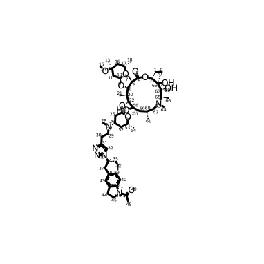 CC[C@H]1OC(=O)[C@H](C)[C@@H](O[C@H]2C[C@@](C)(OC)C[C@H](C)O2)[C@H](C)[C@@H](O[C@H]2C[C@@H](N(C)CCc3cn([C@H](CF)Cc4ccc5c(c4)CCN5C(C)=O)nn3)C[C@@H](C)O2)[C@](C)(O)C[C@@H](C)CN(C)[C@H](C)[C@@H](O)[C@]1(C)O